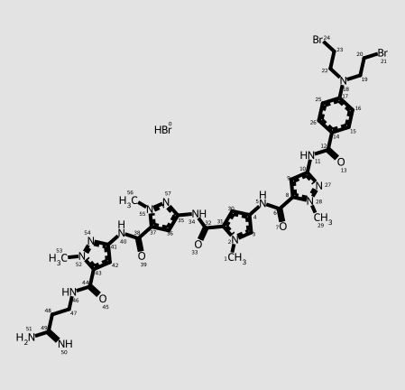 Br.Cn1cc(NC(=O)c2cc(NC(=O)c3ccc(N(CCBr)CCBr)cc3)nn2C)cc1C(=O)Nc1cc(C(=O)Nc2cc(C(=O)NCCC(=N)N)n(C)n2)n(C)n1